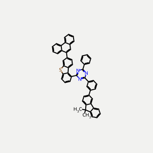 CC1(C)c2ccccc2-c2cc(-c3cccc(-c4nc(-c5ccccc5)nc(-c5cccc6sc7cc(-c8cc9ccccc9c9ccccc89)ccc7c56)n4)c3)ccc21